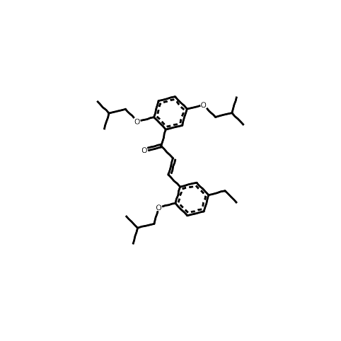 CCc1ccc(OCC(C)C)c(C=CC(=O)c2cc(OCC(C)C)ccc2OCC(C)C)c1